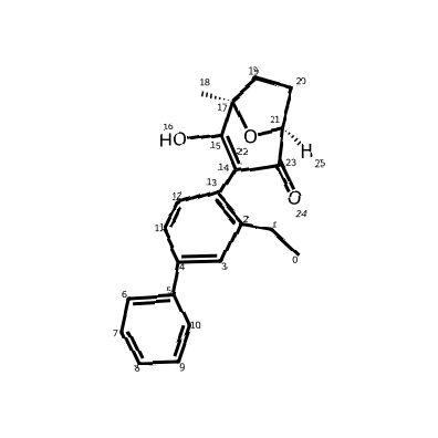 CCc1cc(-c2ccccc2)ccc1C1=C(O)[C@@]2(C)CC[C@H](O2)C1=O